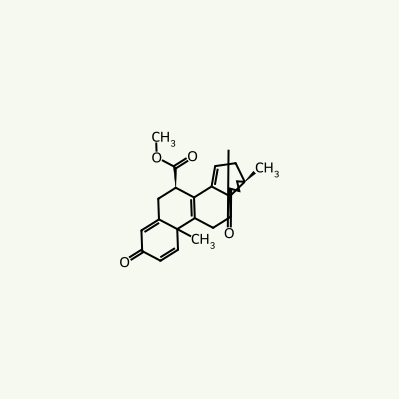 COC(=O)[C@@H]1CC2=CC(=O)C=CC2(C)C2=C1C1=CC[C@@]3(C)CCC(=O)C13CC2